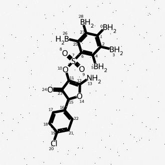 Bc1c(B)c(B)c(S(=O)(=O)OC2=C(N)OC(c3ccc(Cl)cc3)C2=O)c(B)c1B